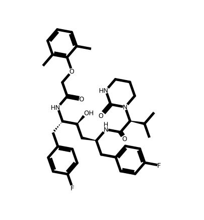 Cc1cccc(C)c1OCC(=O)N[C@@H](Cc1ccc(F)cc1)[C@@H](O)C[C@H](Cc1ccc(F)cc1)NC(=O)[C@H](C(C)C)N1CCCNC1=O